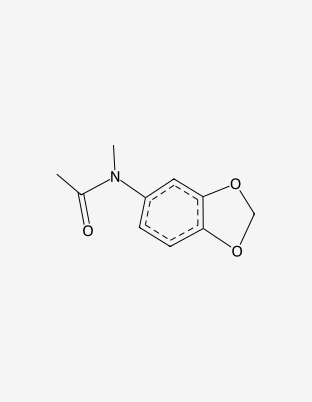 CC(=O)N(C)c1ccc2c(c1)OCO2